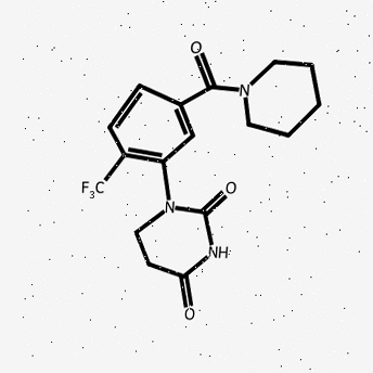 O=C1CCN(c2cc(C(=O)N3CCCCC3)ccc2C(F)(F)F)C(=O)N1